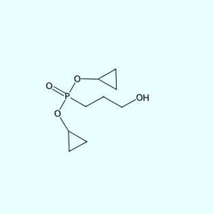 O=P(CCCO)(OC1CC1)OC1CC1